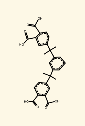 CC(C)(c1cccc(C(C)(C)c2ccc(C(=O)O)c(C(=O)O)c2)c1)c1ccc(C(=O)O)c(C(=O)O)c1